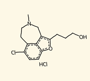 CN1CCc2c(Cl)ccc3oc(CCCO)c(c23)C1.Cl